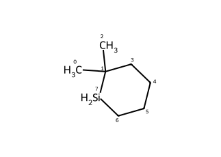 CC1(C)CCCC[SiH2]1